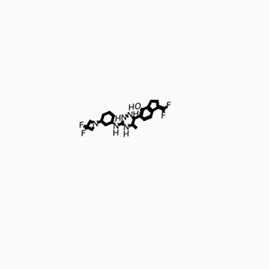 CC1NC(N[C@@H]2CCCC(N3CC(F)(F)C3)C2)NNC1c1ccc2c(c1O)CCC2=C(F)F